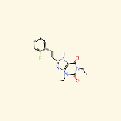 CCn1c(=O)c2c(nc(/C=C/c3ccccc3F)n2C)n(CC)c1=O